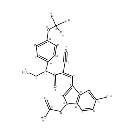 CCN(C(=O)C(C#N)=Cc1cn(CC(=O)O)c2ccc(F)cc12)c1ccc(OC(F)(F)F)cc1